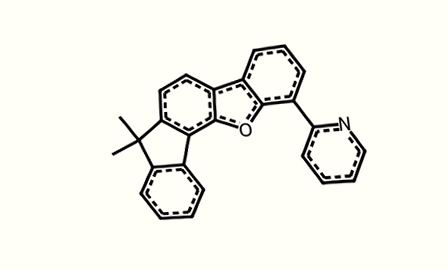 CC1(C)c2ccccc2-c2c1ccc1c2oc2c(-c3ccccn3)cccc21